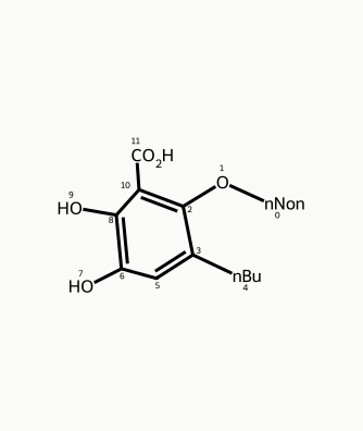 CCCCCCCCCOc1c(CCCC)cc(O)c(O)c1C(=O)O